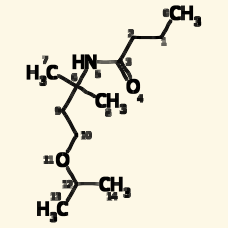 CCCC(=O)NC(C)(C)CCOC(C)C